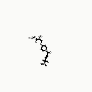 CC(C)[C@H](COC1CCN(C(=O)C#CC(C)(C)N(C)C)CC1)C(=O)OC(C)(C)C